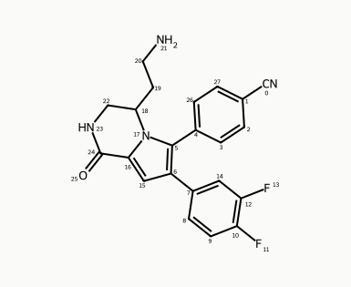 N#Cc1ccc(-c2c(-c3ccc(F)c(F)c3)cc3n2C(CCN)CNC3=O)cc1